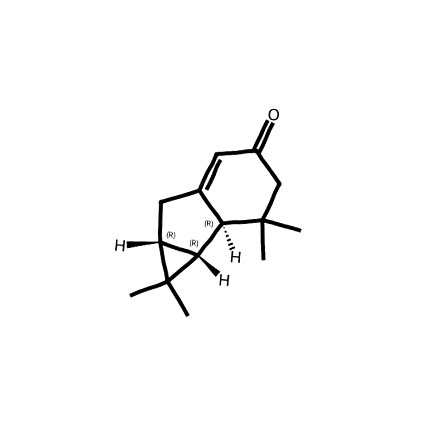 CC1(C)CC(=O)C=C2C[C@@H]3[C@H]([C@@H]21)C3(C)C